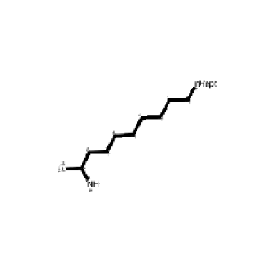 CCCCCCCCCCCCCCCC([NH])CC